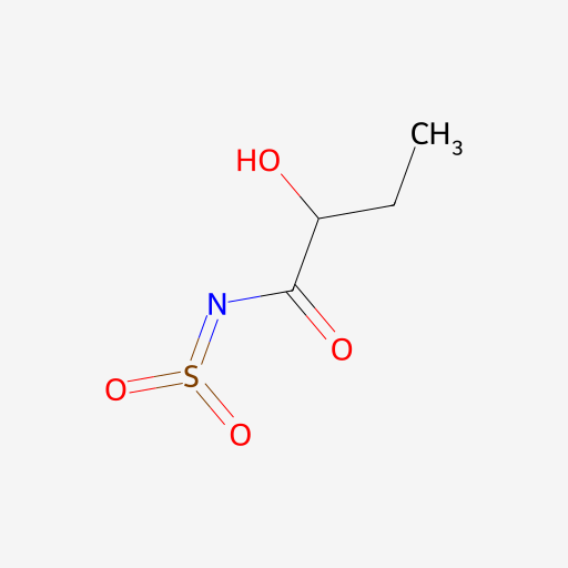 CCC(O)C(=O)N=S(=O)=O